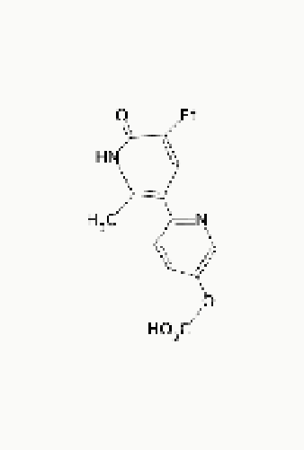 CCc1cc(-c2ccc(OC(=O)O)cn2)c(C)[nH]c1=O